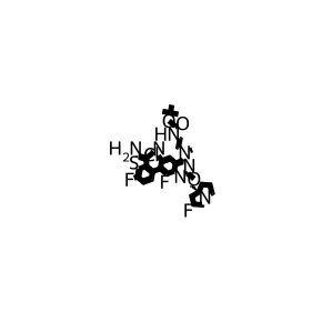 CN(CCNC(=O)OC(C)(C)C)c1nc(OC[C@@]23CCCN2C[C@H](F)C3)nc2c(F)c(-c3ccc(F)c4sc(N)c(C#N)c34)c(Cl)cc12